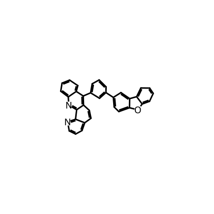 c1cc(-c2ccc3oc4ccccc4c3c2)cc(-c2c3ccccc3nc3c2ccc2cccnc23)c1